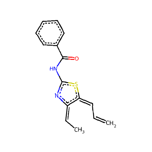 C=C/C=c1/sc(NC(=O)c2ccccc2)n/c1=C/C